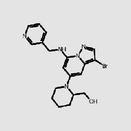 OCC1CCCCN1c1cc(NCc2cccnc2)n2ncc(Br)c2c1